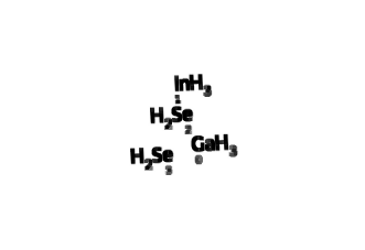 [GaH3].[InH3].[SeH2].[SeH2]